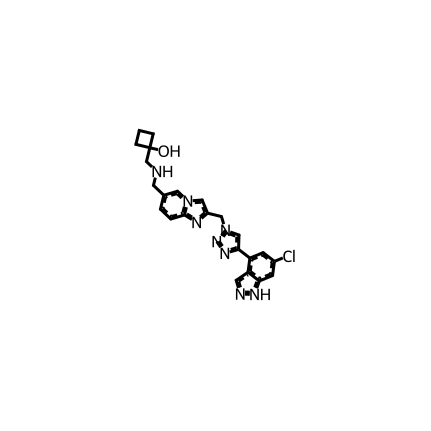 OC1(CNCc2ccc3nc(Cn4cc(-c5cc(Cl)cc6[nH]ncc56)nn4)cn3c2)CCC1